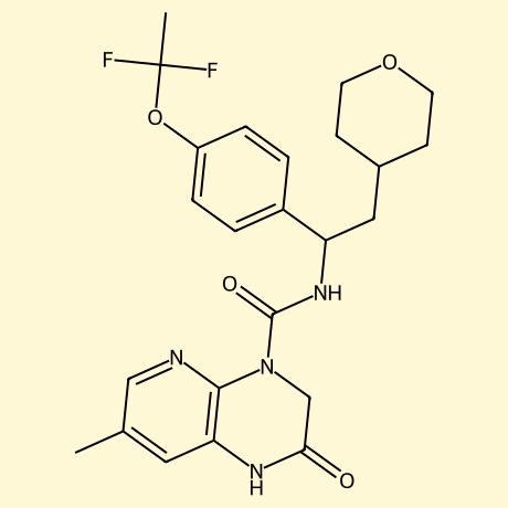 Cc1cnc2c(c1)NC(=O)CN2C(=O)NC(CC1CCOCC1)c1ccc(OC(C)(F)F)cc1